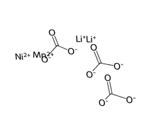 O=C([O-])[O-].O=C([O-])[O-].O=C([O-])[O-].[Li+].[Li+].[Mn+2].[Ni+2]